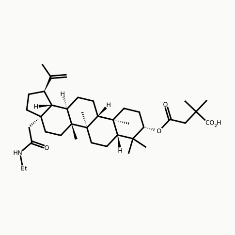 C=C(C)[C@@H]1CC[C@]2(CC(=O)NCC)CC[C@]3(C)[C@H](CC[C@@H]4[C@@]5(C)CC[C@H](OC(=O)CC(C)(C)C(=O)O)C(C)(C)[C@@H]5CC[C@]43C)[C@@H]12